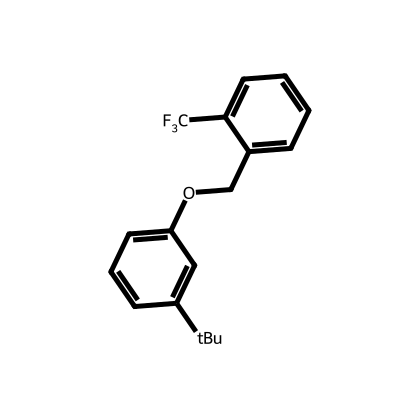 CC(C)(C)c1cccc(OCc2ccccc2C(F)(F)F)c1